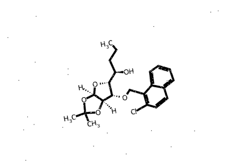 CCC[C@@H](O)[C@H]1O[C@@H]2OC(C)(C)O[C@@H]2[C@H]1OCc1c(Cl)ccc2ccccc12